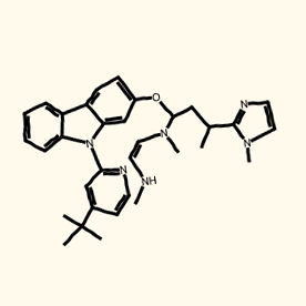 CN/C=C\N(C)C(CC(C)c1nccn1C)Oc1ccc2c3ccccc3n(-c3cc(C(C)(C)C)ccn3)c2c1